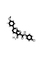 COc1ccc(-c2ccc3c(N)c(C(=O)Nc4ccc(Cl)cc4)sc3n2)cc1